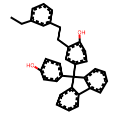 CCc1cccc(CCc2cc(C3(c4ccc(O)cc4)c4ccccc4-c4ccccc43)ccc2O)c1